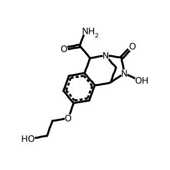 NC(=O)C1c2ccc(OCCO)cc2C2CN1C(=O)N2O